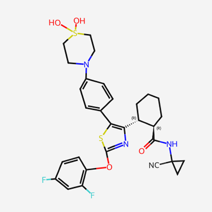 N#CC1(NC(=O)[C@@H]2CCCC[C@H]2c2nc(Oc3ccc(F)cc3F)sc2-c2ccc(N3CCS(O)(O)CC3)cc2)CC1